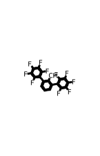 Cc1c(-c2c(F)c(F)c(F)c(F)c2F)cccc1-c1c(F)c(F)c(F)c(F)c1F